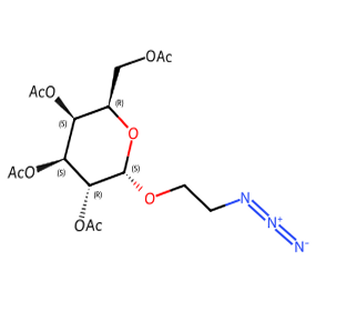 CC(=O)OC[C@H]1O[C@H](OCCN=[N+]=[N-])[C@H](OC(C)=O)[C@@H](OC(C)=O)[C@H]1OC(C)=O